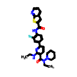 CCNc1nc(-c2ccc(NC(=O)c3cc4cccnc4s3)c(F)c2)ccc1C(=O)N(CC)N1CCCCC1